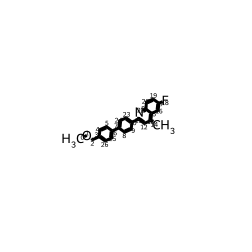 COCc1ccc(-c2ccc(-c3cc(C)c4cc(F)ccc4n3)cc2)cc1